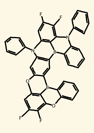 Fc1cc2c3c(c1F)Oc1ccccc1B3c1cc3c(cc1O2)N(c1ccccc1)c1cc(F)c(F)c2c1B3c1ccccc1N2c1ccccc1